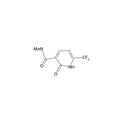 CNC(=O)c1ccc(C(F)(F)F)[nH]c1=O